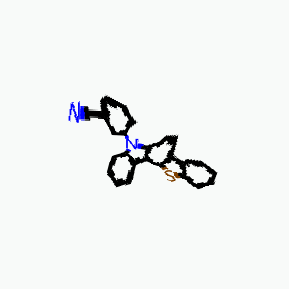 N#Cc1cccc(-n2c3ccccc3c3c4sc5ccccc5c4ccc32)c1